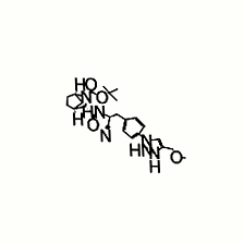 COCC1=CN(c2ccc(C[C@@H](C#N)NC(=O)[C@@H]3[C@H]4CC[C@H](C4)N3C(=O)OC(C)(C)C)cc2)NN1